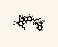 CC(/C=C/c1ccc2c(c1)CC(c1cc(Cl)cc(Cl)c1)(C(F)(F)F)O2)N1C(=O)c2ccccc2C1=O